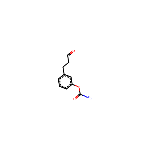 NC(=O)Oc1cccc(CCC=O)c1